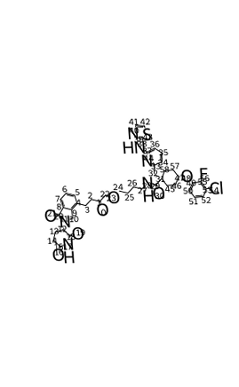 O=C(CCc1cccc2c1CN(C1CCC(=O)NC1=O)C2=O)COCCCCNC(=O)[C@]1(Cc2cccc(Nc3nccs3)n2)CC[C@@H](Oc2cccc(Cl)c2F)CC1